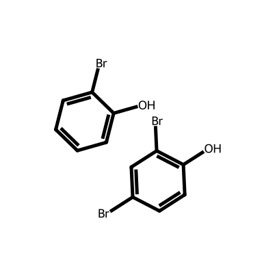 Oc1ccc(Br)cc1Br.Oc1ccccc1Br